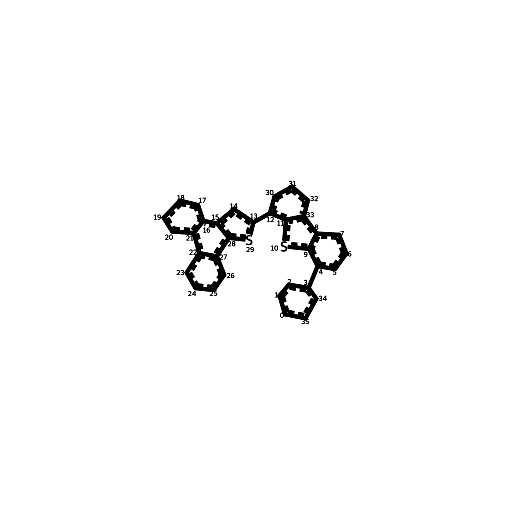 c1ccc(-c2cccc3c2sc2c(-c4cc5c6ccccc6c6ccccc6c5s4)cccc23)cc1